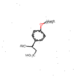 CCCCCCCOc1ccc(C(C#N)CC(=O)O)cc1